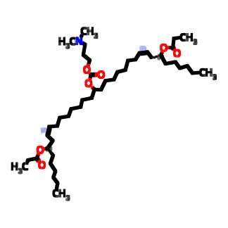 CCCCCC[C@H](C/C=C\CCCCCCCC(CCCCCCC/C=C\C[C@@H](CCCCCC)OC(=O)CC)OC(=O)OCCCN(C)C)OC(=O)CC